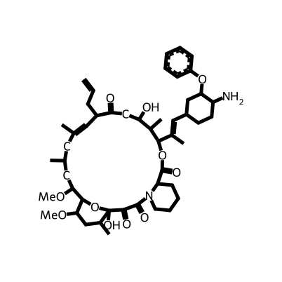 C=CCC1/C=C(\C)CC(C)CC(OC)C2OC(O)(C(=O)C(=O)N3CCCCC3C(=O)OC(C(C)=CC3CCC(N)C(Oc4ccccc4)C3)C(C)C(O)CC1=O)C(C)CC2OC